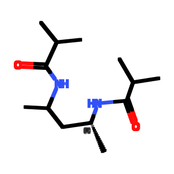 CC(C[C@@H](C)NC(=O)C(C)C)NC(=O)C(C)C